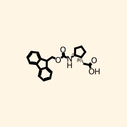 O=C(O)C[C@H]1CCC[C@@H]1NC(=O)OCC1c2ccccc2-c2ccccc21